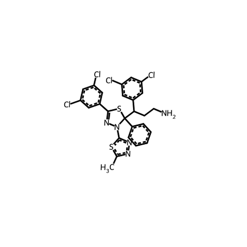 Cc1nnc(N2N=C(c3cc(Cl)cc(Cl)c3)SC2(c2ccccc2)C(CCN)c2cc(Cl)cc(Cl)c2)s1